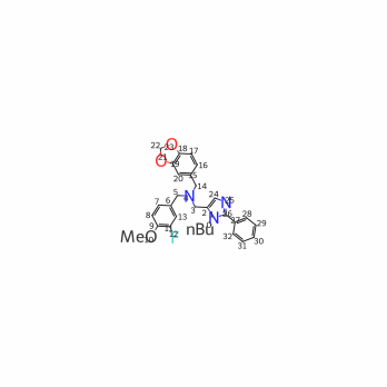 CCCCn1c(CN(Cc2ccc(OC)c(F)c2)Cc2ccc3c(c2)OCO3)cnc1-c1ccccc1